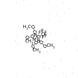 Cc1cccc(-c2ccc3c(c2)c2cc(-c4cccc(C)c4)ccc2n3-c2cc(-c3c(F)c(F)c(F)c(F)c3F)cc(-n3c4ccc(-c5cccc(C)c5)cc4c4cc(-c5cccc(C)c5)ccc43)c2C#N)c1